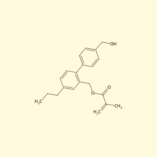 C=C(C)C(=O)OCc1cc(CCC)ccc1-c1ccc(CO)cc1